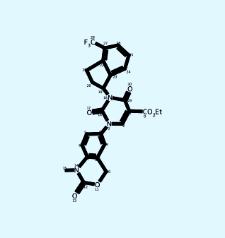 CCOC(=O)c1cn(-c2ccc3c(c2)COC(=O)N3C)c(=O)n(C2CCc3c2cccc3C(F)(F)F)c1=O